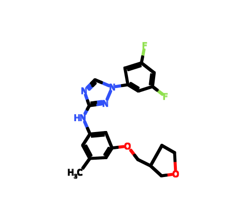 Cc1cc(Nc2ncn(-c3cc(F)cc(F)c3)n2)cc(OCC2CCOC2)c1